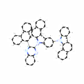 c1ccc2c(c1)cc(-c1nc3ccccc3nc1-n1c3ccc(-n4c5ccccc5c5ccc6ccccc6c54)cc3c3c4ccccc4ccc31)c1ccccc12